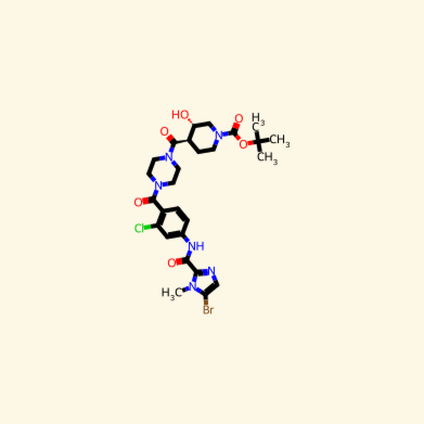 Cn1c(Br)cnc1C(=O)Nc1ccc(C(=O)N2CCN(C(=O)[C@@H]3CCN(C(=O)OC(C)(C)C)C[C@H]3O)CC2)c(Cl)c1